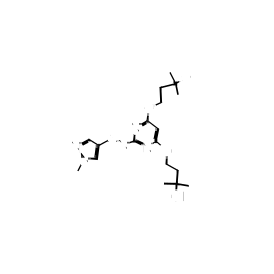 Cn1cc(SNc2nc(OCCC(C)(C)O)cc(OCCC(C)(C)O)n2)cn1